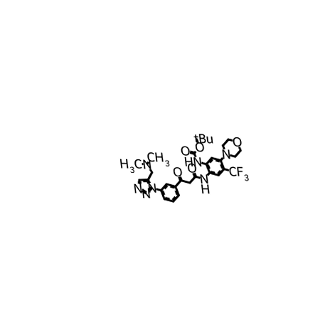 CN(C)Cc1cnnn1-c1cccc(C(=O)CC(=O)Nc2cc(C(F)(F)F)c(N3CCOCC3)cc2NC(=O)OC(C)(C)C)c1